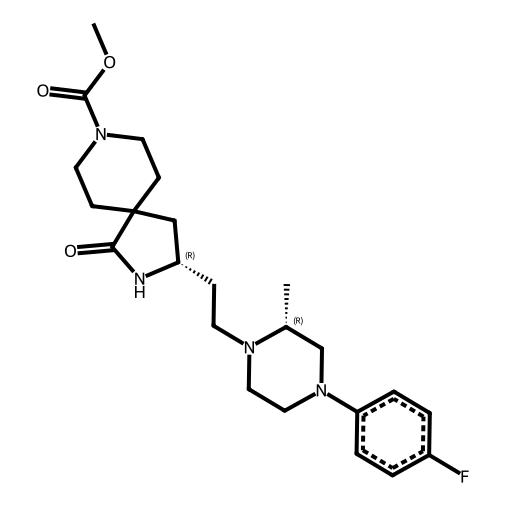 COC(=O)N1CCC2(CC1)C[C@H](CCN1CCN(c3ccc(F)cc3)C[C@H]1C)NC2=O